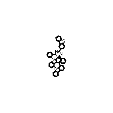 c1ccc(-c2nc(-c3ccc4sc5ccccc5c4c3)nc(-c3ccccc3-n3c4cccc5c6cccc7c8ccccc8n(c8cccc3c8c54)c67)n2)cc1